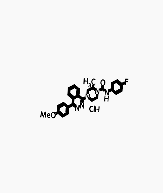 COc1ccc(-c2nnc(N3CCN(C(=O)Nc4ccc(F)cc4)C(C)C3)c3ccccc23)cc1.Cl